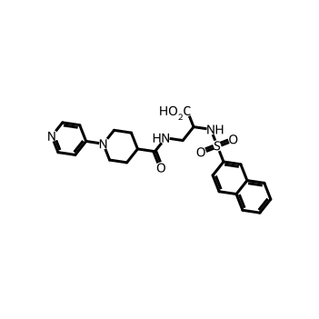 O=C(NCC(NS(=O)(=O)c1ccc2ccccc2c1)C(=O)O)C1CCN(c2ccncc2)CC1